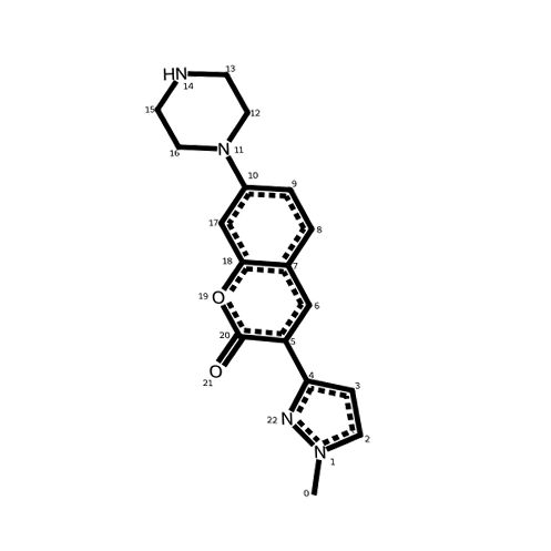 Cn1ccc(-c2cc3ccc(N4CCNCC4)cc3oc2=O)n1